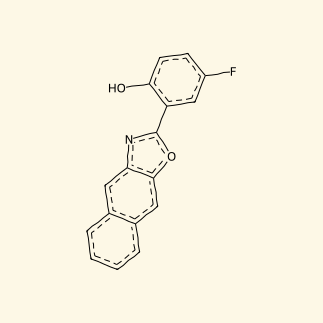 Oc1ccc(F)cc1-c1nc2cc3ccccc3cc2o1